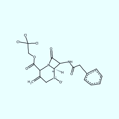 C=C1C[S+]([O-])[C@@H]2C(NC(=O)Cc3ccccc3)C(=O)N2C1C(=O)OCC(Cl)(Cl)Cl